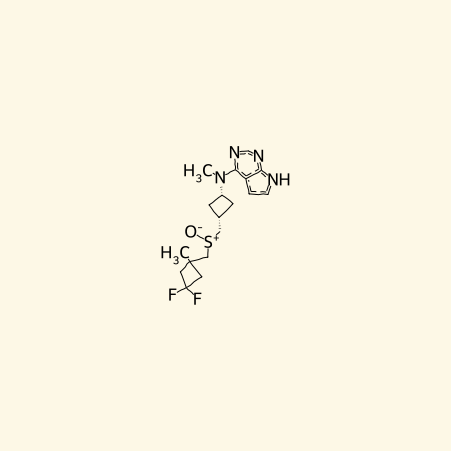 CN(c1ncnc2[nH]ccc12)[C@H]1C[C@@H](C[S+]([O-])CC2(C)CC(F)(F)C2)C1